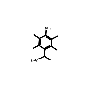 CCOC(=O)C(C)c1c(C)c(C)c(N)c(C)c1C